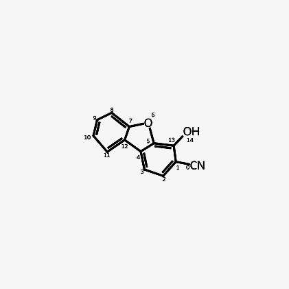 N#Cc1ccc2c(oc3ccccc32)c1O